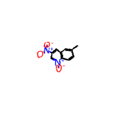 Cc1ccc2c(c1)cc([N+](=O)[O-])c[n+]2[O-]